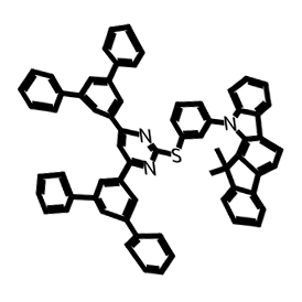 CC1(C)c2ccccc2-c2ccc3c4ccccc4n(-c4cccc(Sc5nc(-c6cc(-c7ccccc7)cc(-c7ccccc7)c6)cc(-c6cc(-c7ccccc7)cc(-c7ccccc7)c6)n5)c4)c3c21